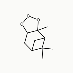 CC1(C)C2CC3O[B]OC3(C)C1C2